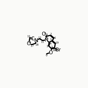 COc1cc2c(ccc(=O)n2CCN2CCOCC2)cc1Br